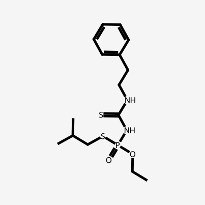 CCOP(=O)(NC(=S)NCCc1ccccc1)SCC(C)C